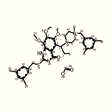 CCC(c1c(OC)c(OC)c(OC)c2[nH]c(SCc3cc(C)cc(C)c3)nc(=O)c12)N1CC[N+](C)(Cc2cc(C)cc(C)c2)CC1.O=C[O-]